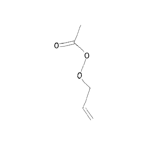 C=CCOOC(C)=O